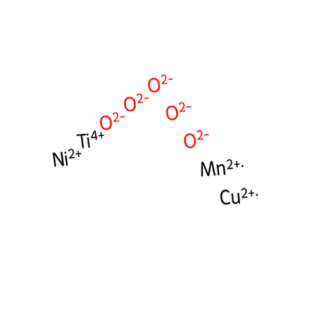 [Cu+2].[Mn+2].[Ni+2].[O-2].[O-2].[O-2].[O-2].[O-2].[Ti+4]